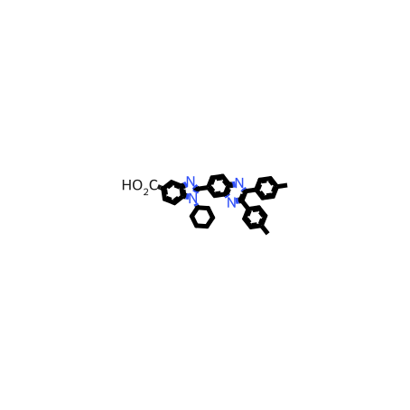 Cc1ccc(-c2nc3ccc(-c4nc5cc(C(=O)O)ccc5n4C4CCCCC4)cc3nc2-c2ccc(C)cc2)cc1